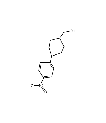 O=[N+]([O-])c1ccc(C2CCC(CO)CC2)cc1